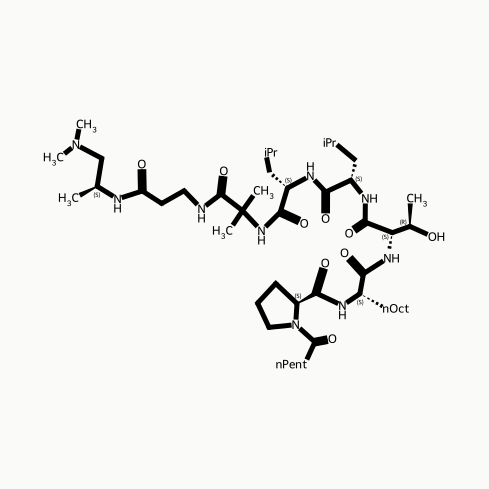 CCCCCCCC[C@H](NC(=O)[C@@H]1CCCN1C(=O)CCCCC)C(=O)N[C@H](C(=O)N[C@@H](CC(C)C)C(=O)N[C@@H](CC(C)C)C(=O)NC(C)(C)C(=O)NCCC(=O)N[C@@H](C)CN(C)C)[C@@H](C)O